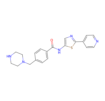 O=C(Nc1cnc(-c2ccncc2)s1)c1ccc(CN2CCNCC2)cc1